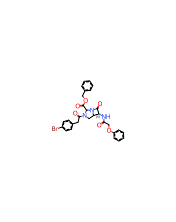 O=C(COc1ccccc1)N[C@@H]1C(=O)N2C1CN(C(=O)Cc1ccc(Br)cc1)C2C(=O)OCc1ccccc1